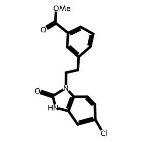 COC(=O)c1cccc(CCn2c(=O)[nH]c3cc(Cl)ccc32)c1